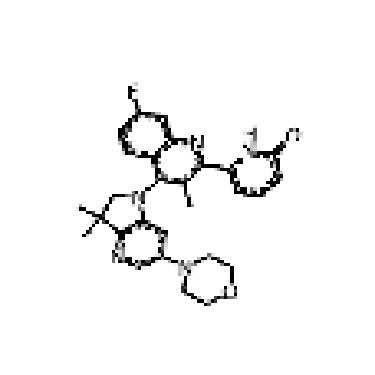 Cc1c(-c2cccc(=O)[nH]2)nc2cc(F)ccc2c1N1CC(C)(C)c2ncc(N3CCOCC3)cc21